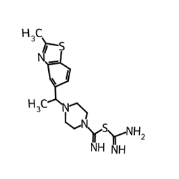 Cc1nc2cc(C(C)N3CCN(C(=N)SC(=N)N)CC3)ccc2s1